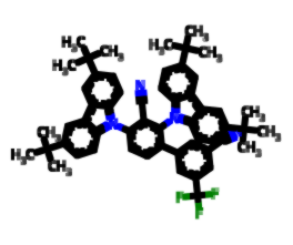 CC(C)(C)c1ccc2c(c1)c1cc(C(C)(C)C)ccc1n2-c1ccc(-c2cc(C#N)cc(C(F)(F)F)c2)c(-n2c3ccc(C(C)(C)C)cc3c3cc(C(C)(C)C)ccc32)c1C#N